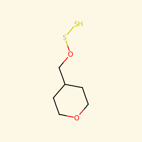 SSOCC1CCOCC1